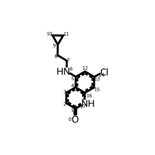 O=c1ccc2c(NCCC3CC3)cc(Cl)cc2[nH]1